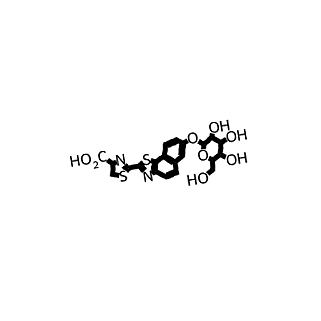 O=C(O)C1CSC(c2nc3ccc4cc(OC5OC(CO)C(O)C(O)C5O)ccc4c3s2)=N1